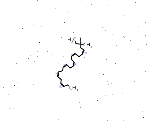 CC/C=C\C/C=C\C/C=C\C/C=C\C/C=C\C/C=C\CC(C)(I)CC